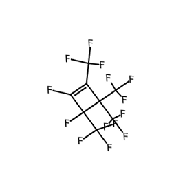 FC1=C(C(F)(F)F)C(C(F)(F)F)(C(F)(F)F)C1(F)C(F)(F)F